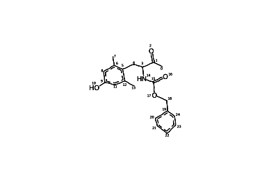 CC(=O)C(Cc1c(C)cc(O)cc1C)NC(=O)OCc1ccccc1